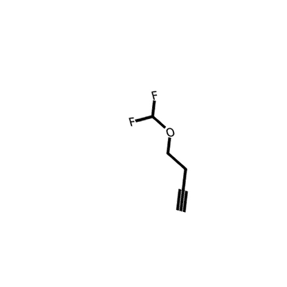 C#CCCOC(F)F